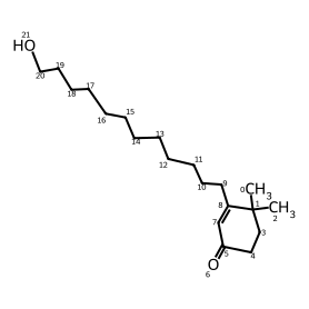 CC1(C)CCC(=O)C=C1CCCCCCCCCCCCO